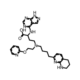 O=C(O)C(CCN(CCCCc1ccc2c(n1)NCCC2)CCOc1ccccn1)Nc1ncnc2[nH]ncc12